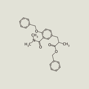 CC(Cc1ccc(OCc2ccccc2)c(C(=O)N(C)C)c1)C(=O)OCc1ccccc1